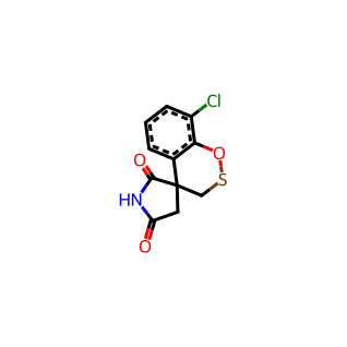 O=C1CC2(CSOc3c(Cl)cccc32)C(=O)N1